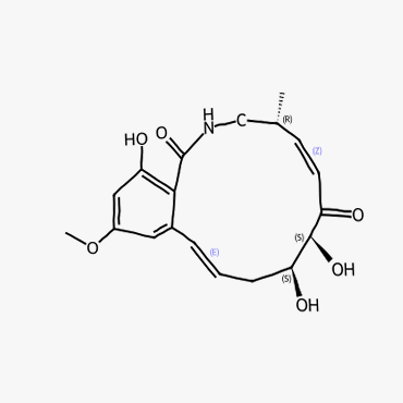 COc1cc(O)c2c(c1)/C=C/C[C@H](O)[C@H](O)C(=O)/C=C\[C@@H](C)CNC2=O